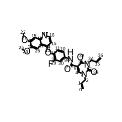 C=CCn1cc(C(=O)Nc2ccc(Oc3ccnc4cc(OC)c(OC)cc34)c(F)c2)c(=O)n(CC=C)c1=O